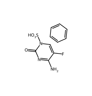 Nc1nc(=O)n(S(=O)(=O)O)cc1F.c1ccccc1